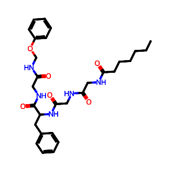 CCCCCCC(=O)NCC(=O)NCC(=O)NC(Cc1ccccc1)C(=O)NCC(=O)NCOc1ccccc1